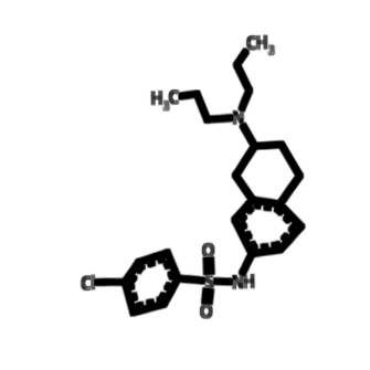 CCCN(CCC)C1CCc2ccc(NS(=O)(=O)c3ccc(Cl)cc3)cc2C1